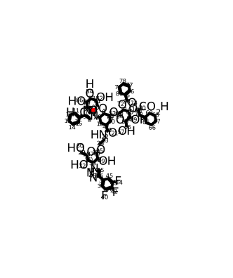 CC1O[C@@H](OC2C(n3cc(-c4ccccc4)nn3)CC(C(=O)NCCO[C@H]3OC(CO)[C@@H](O)C(n4cc(-c5cc(F)c(F)c(F)c5)nn4)C3O)C[C@H]2O[C@@H]2OC(CO)[C@H](O)C(O[C@@H](CC3CCCCC3)C(=O)O)C2OC(=O)c2ccccc2)C(O)C(O)[C@@H]1O